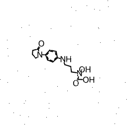 O=C(O)N(O)CCCNc1ccc(N2CCCC2=O)cc1